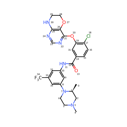 C[C@H]1CN(C)CCN1c1cc(NC(=O)c2ccc(Cl)c(Oc3ncnc4c3OCCN4)c2)cc(C(F)(F)F)c1